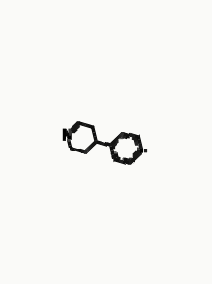 [c]1ccc(C2CC=NCC2)cc1